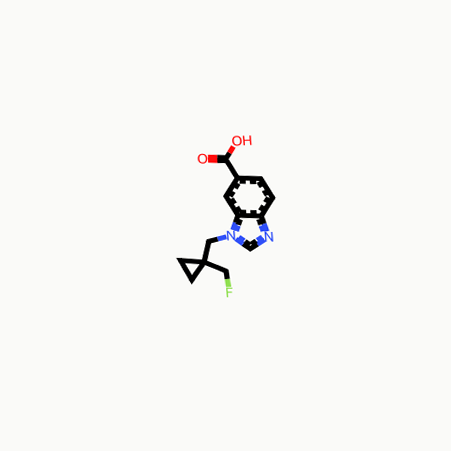 O=C(O)c1ccc2ncn(CC3(CF)CC3)c2c1